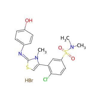 Br.CN(C)S(=O)(=O)c1ccc(Cl)c(-c2csc(=Nc3ccc(O)cc3)n2C)c1